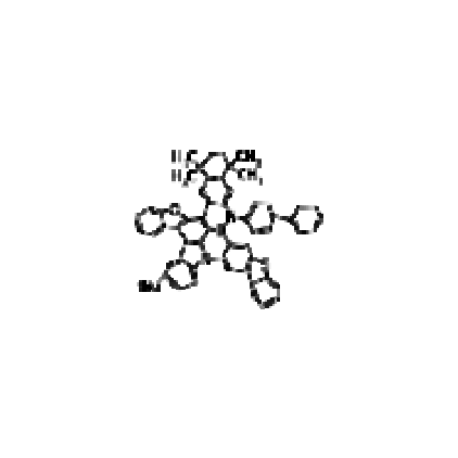 CC(C)(C)c1ccc2c(c1)c1c3c(oc4ccccc43)c3c4c1n2-c1cc2c(cc1B4N(c1ccc(-c4ccccc4)cc1)c1cc4c(cc1-3)C(C)(C)CCC4(C)C)sc1ccccc12